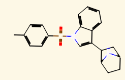 Cc1ccc(S(=O)(=O)n2cc(C3CC4CCC3N4)c3ccccc32)cc1